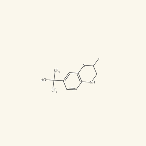 CC1CNc2ccc(C(O)(C(F)(F)F)C(F)(F)F)cc2S1